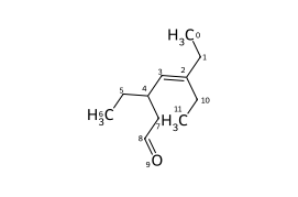 CCC(=CC(CC)CC=O)CC